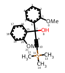 COc1ccccc1C(O)(C#CS(C)(C)C)c1ccccc1OC